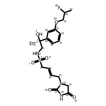 CC[C@@](O)(CNS(=O)(=O)C/C=C/CN1CC(=O)NC1=O)c1cccc(OCC(C)F)c1